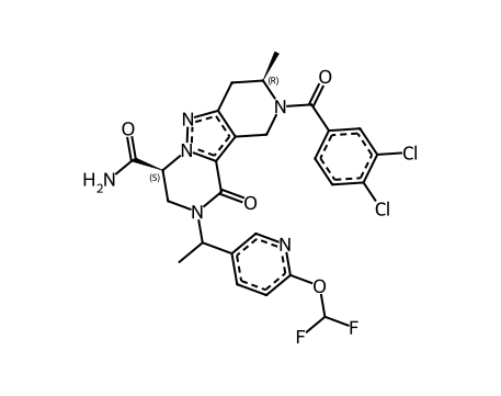 CC(c1ccc(OC(F)F)nc1)N1C[C@@H](C(N)=O)n2nc3c(c2C1=O)CN(C(=O)c1ccc(Cl)c(Cl)c1)[C@H](C)C3